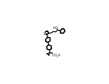 O=C(O)CC1(c2ccc(-c3ccc(-c4sccc4CCCC(O)c4ccccc4)cc3)cc2)CC1